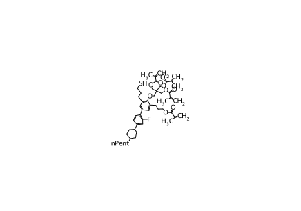 C=C(C)C(=O)OCCCc1cc(-c2ccc(C3CCC(CCCCC)CC3)cc2F)cc(CCCS)c1OCC(COC(=O)C(=C)C)(COC(=O)C(=C)C)COC(=O)C(=C)C